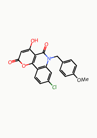 COc1ccc(Cn2c(=O)c3c(O)cc(=O)oc3c3ccc(Cl)cc32)cc1